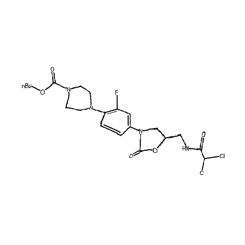 CCCCOC(=O)N1CCN(c2ccc(N3CC(CNC(=O)C(Cl)Cl)OC3=O)cc2F)CC1